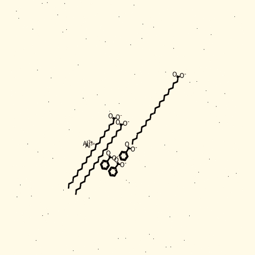 CCCCCCCCCCCCCCCCCCCCCC(=O)[O-].CCCCCCCCCCCCCCCCCCCCCC(=O)[O-].CCCCCCCCCCCCCCCCCCCCCC(=O)[O-].O=C([O-])c1ccccc1.O=C([O-])c1ccccc1.O=C([O-])c1ccccc1.[Al+3].[Al+3]